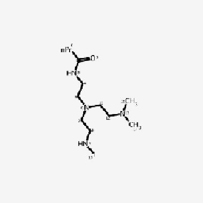 CCCC(=O)NCCN(CCNI)CCN(C)C